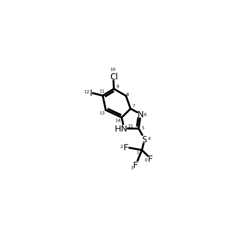 FC(F)(F)SC1=NC2CC(Cl)=C(I)C=C2N1